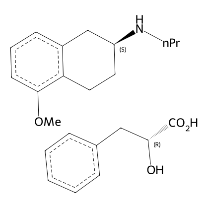 CCCN[C@H]1CCc2c(cccc2OC)C1.O=C(O)[C@H](O)Cc1ccccc1